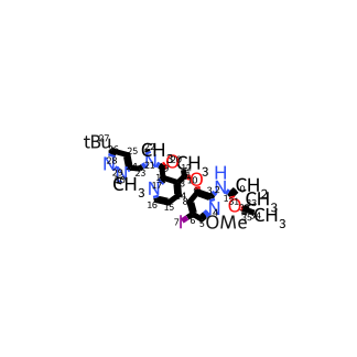 C=C(Nc1ncc(I)cc1OC(C)c1cccnc1C(=O)N(C)Cc1cc(C(C)(C)C)nn1C)OC(C)(C)OC